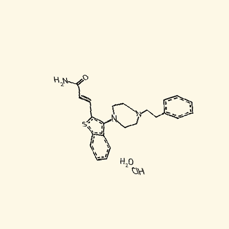 Cl.NC(=O)C=Cc1sc2ccccc2c1N1CCN(CCc2ccccc2)CC1.O